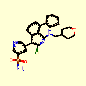 NS(=O)(=O)c1cncc(-c2c(Cl)nc(NCC3CCOCC3)c3c(-c4ccccc4)cccc23)c1